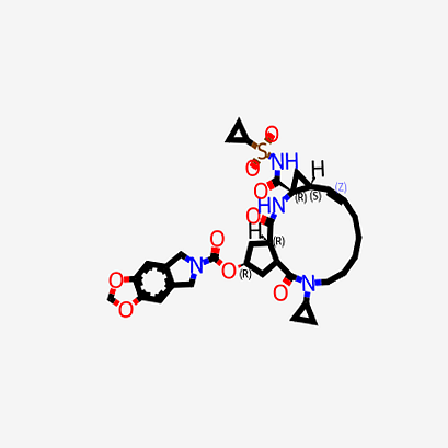 O=C1N[C@]2(C(=O)NS(=O)(=O)C3CC3)C[C@H]2/C=C\CCCCCN(C2CC2)C(=O)C2C[C@H](OC(=O)N3Cc4cc5c(cc4C3)OCO5)C[C@@H]12